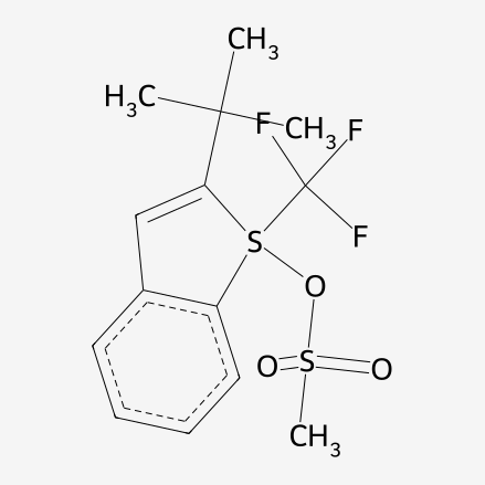 CC(C)(C)C1=Cc2ccccc2S1(OS(C)(=O)=O)C(F)(F)F